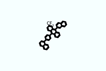 FC(F)(F)c1ccc2c(-c3ccc(-c4cccc5ccccc45)cc3)c3ccccc3c(-c3ccc4ccccc4c3)c2c1